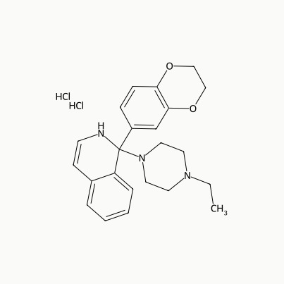 CCN1CCN(C2(c3ccc4c(c3)OCCO4)NC=Cc3ccccc32)CC1.Cl.Cl